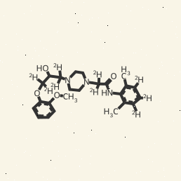 [2H]c1c([2H])c(C)c(NC(=O)C([2H])([2H])N2CCN(C([2H])([2H])C(O)C([2H])([2H])Oc3ccccc3OC)CC2)c(C)c1[2H]